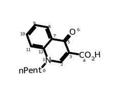 CCCCCn1cc(C(=O)O)c(=O)c2ccccc21